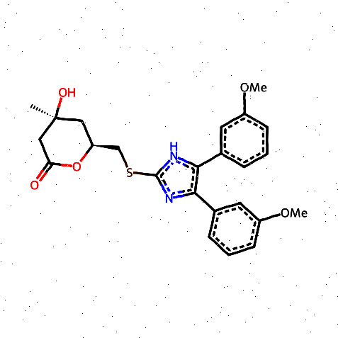 COc1cccc(-c2nc(SC[C@@H]3C[C@](C)(O)CC(=O)O3)[nH]c2-c2cccc(OC)c2)c1